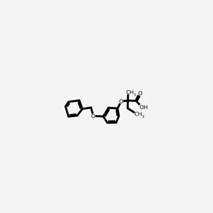 CCC(C)(Oc1cccc(OCc2ccccc2)c1)C(=O)O